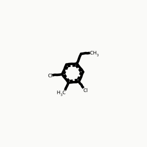 CCc1cc(Cl)c(C)c(Cl)c1